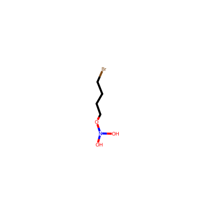 ON(O)OCCCCBr